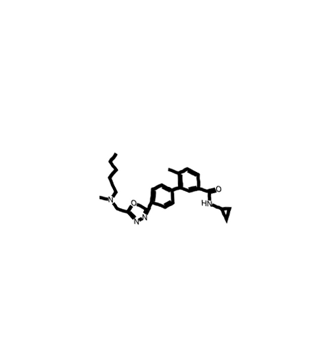 CCCCCN(C)Cc1nnc(-c2ccc(-c3cc(C(=O)NC4CC4)ccc3C)cc2)o1